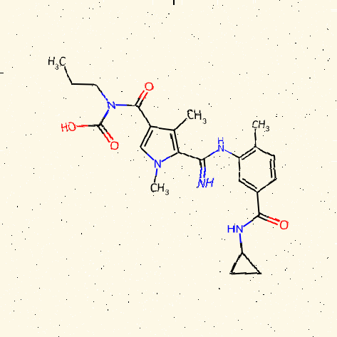 CCCN(C(=O)O)C(=O)c1cn(C)c(C(=N)Nc2cc(C(=O)NC3CC3)ccc2C)c1C